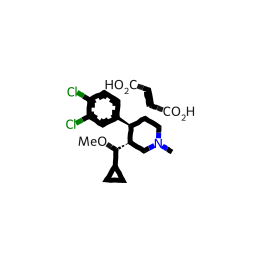 COC(C1CC1)[C@H]1CN(C)CC[C@@H]1c1ccc(Cl)c(Cl)c1.O=C(O)/C=C/C(=O)O